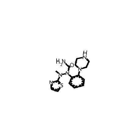 CN(c1nccs1)N(C(N)=O)c1ccccc1N1CCNCC1